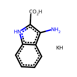 Nc1c(C(=O)O)[nH]c2ccccc12.[KH]